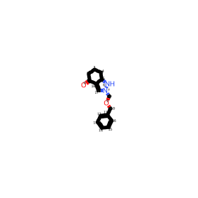 O=C1CCCC2NN(COCc3ccccc3)C=C12